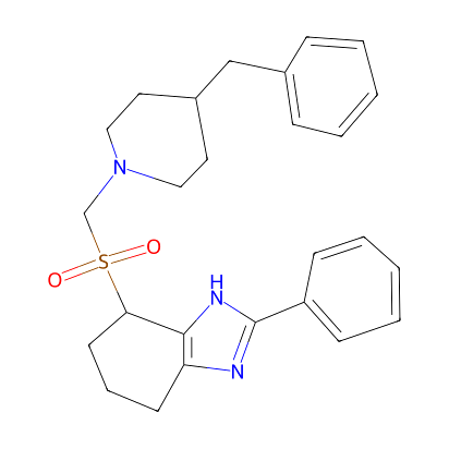 O=S(=O)(CN1CCC(Cc2ccccc2)CC1)C1CCCc2nc(-c3ccccc3)[nH]c21